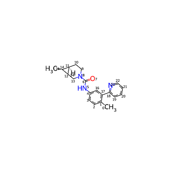 Cc1ccc(NC(=O)N2CC[C@H]3C(C2)[C@H]3C)cc1-c1ccccn1